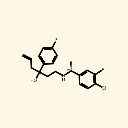 C=CCC(O)(CCN[C@@H](C)c1ccc(Cl)c(F)c1)c1ccc(F)cc1